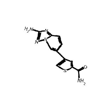 NC(=O)c1cc(-c2ccc3nc(N)nn3c2)cs1